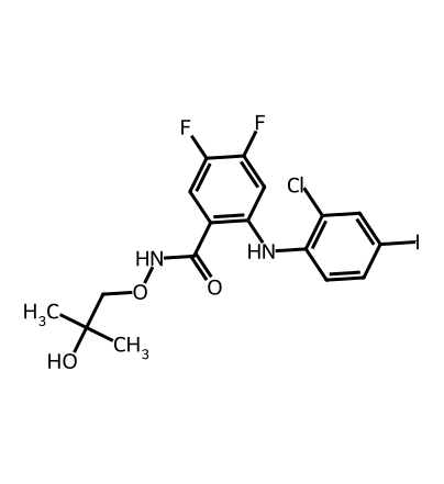 CC(C)(O)CONC(=O)c1cc(F)c(F)cc1Nc1ccc(I)cc1Cl